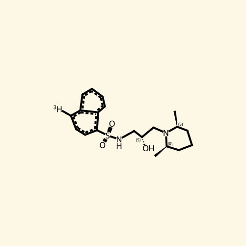 [3H]c1ccc(S(=O)(=O)NC[C@@H](O)CN2[C@H](C)CCC[C@@H]2C)c2ccccc12